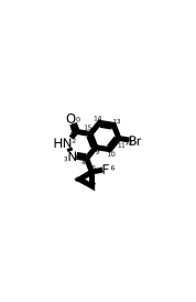 O=c1[nH]nc(C2(F)CC2)c2cc(Br)ccc12